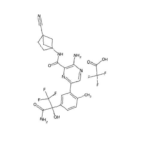 Cc1ccc(C(O)(C(N)=O)C(F)(F)F)cc1-c1cnc(N)c(C(=O)NC23CCC(C#N)(C2)C3)n1.O=C(O)C(F)(F)F